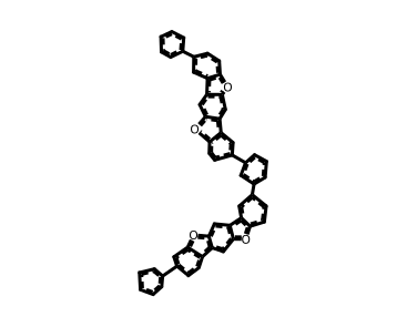 c1ccc(-c2ccc3c(c2)oc2cc4c(cc23)oc2ccc(-c3cccc(-c5ccc6oc7cc8c(cc7c6c5)oc5ccc(-c6ccccc6)cc58)c3)cc24)cc1